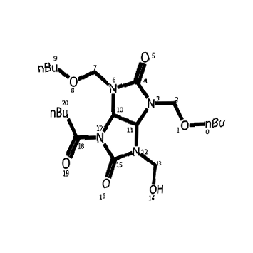 CCCCOCN1C(=O)N(COCCCC)C2C1N(CO)C(=O)N2C(=O)CCCC